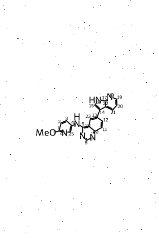 COc1ccc(Nc2ncnc3ccc(-c4c[nH]c5ncccc45)cc23)cn1